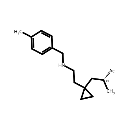 CC(=O)[C@H](C)CC1(CCNCc2ccc(C)cc2)CC1